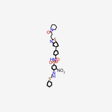 O=C(NS(=O)(=O)c1ccc(NCCSc2ccccc2)c([N+](=O)[O-])c1)c1ccc(-c2ccc3sc(CCC(=O)N4CCCCC4)nc3c2)cc1